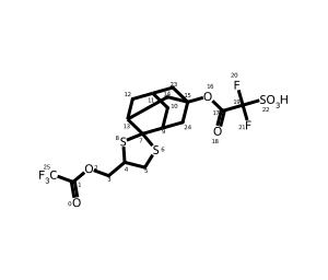 O=C(OCC1CSC2(S1)C1CC3CC2CC(OC(=O)C(F)(F)S(=O)(=O)O)(C3)C1)C(F)(F)F